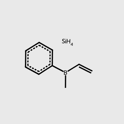 C=CB(C)c1ccccc1.[SiH4]